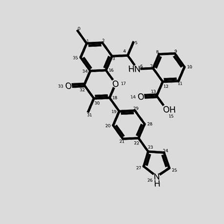 Cc1cc(C(C)Nc2ccccc2C(=O)O)c2oc(-c3ccc(-c4cc[nH]c4)cc3)c(C)c(=O)c2c1